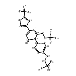 O=c1cc(-c2noc(C(F)(F)F)n2)nc(CCC(F)(F)F)n1-c1ccc(OCC(F)(F)F)cc1